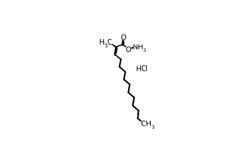 CCCCCCCCCCCC=C(C)C(=O)ON.Cl